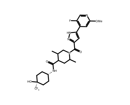 COc1cc(-c2cc(C(=O)N3CC(C)C(C(=O)N[C@H]4CC[C@@](O)(C(F)(F)F)CC4)CC3C)n[nH]2)c(F)cn1